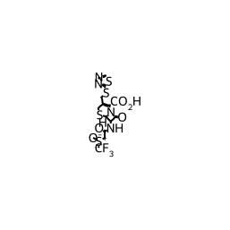 O=C(C[S+]([O-])C(F)(F)F)NC1C(=O)N2C(C(=O)O)=C(CSc3nncs3)CS[C@H]12